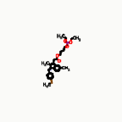 CCOP(OCC)OCCCCOC(=O)CC1=C(C)/C(=C/c2ccc(SC)cc2)c2ccc(C)cc21